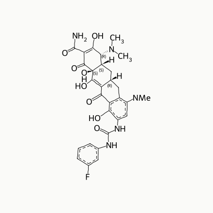 CNc1cc(NC(=O)Nc2cccc(F)c2)c(O)c2c1C[C@H]1C[C@H]3[C@@H](N(C)C)C(O)=C(C(N)=O)C(=O)[C@@]3(O)C(O)=C1C2=O